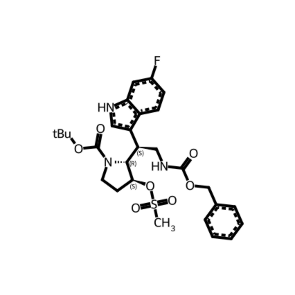 CC(C)(C)OC(=O)N1CC[C@H](OS(C)(=O)=O)[C@H]1[C@H](CNC(=O)OCc1ccccc1)c1c[nH]c2cc(F)ccc12